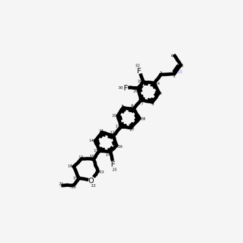 C/C=C\Cc1ccc(-c2ccc(-c3ccc(C4CCC(CC)OC4)c(F)c3)cc2)c(F)c1F